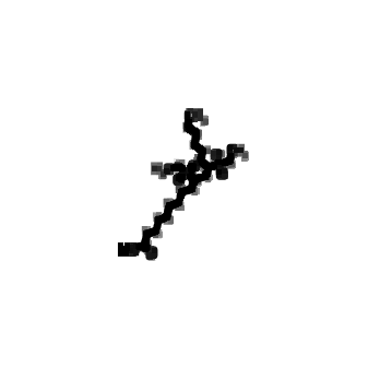 CCCCCCC(CC(CCCCCCCCC(=O)O)S(=O)(=O)CC)S(=O)(=O)CC